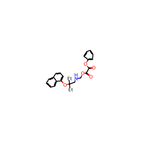 CCC(CC)(CNCOC(=O)C(=O)Oc1ccccc1)Oc1cccc2ccccc12